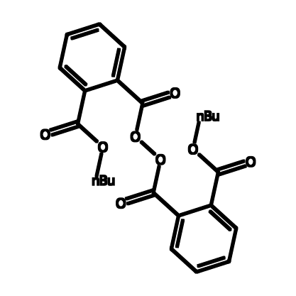 CCCCOC(=O)c1ccccc1C(=O)OOC(=O)c1ccccc1C(=O)OCCCC